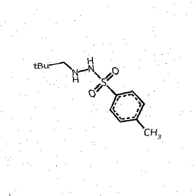 Cc1ccc(S(=O)(=O)NNCC(C)(C)C)cc1